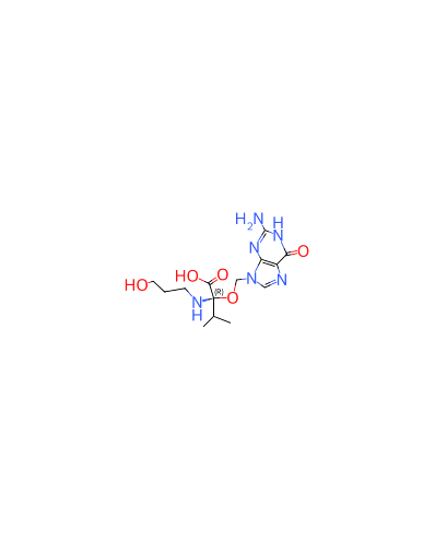 CC(C)[C@@](NCCCO)(OCn1cnc2c(=O)[nH]c(N)nc21)C(=O)O